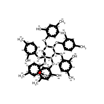 Cc1ccc(ON2P(Oc3ccc(C)cc3O)N=P(Oc3ccc(C)cc3O)(Oc3ccc(C)cc3O)N(Oc3ccc(C)cc3O)P2Oc2ccc(C)cc2O)c(O)c1